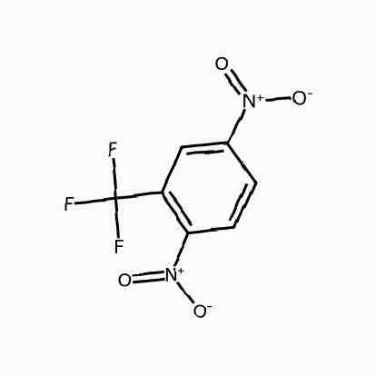 O=[N+]([O-])c1ccc([N+](=O)[O-])c(C(F)(F)F)c1